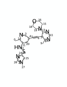 Cc1ncc(C#Cc2c(C)ncnc2N2CCOCC2)cc1NSc1cn(C)cn1